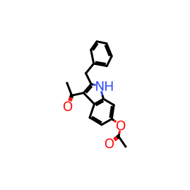 CC(=O)Oc1ccc2c(C(C)=O)c(Cc3ccccc3)[nH]c2c1